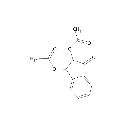 CC(=O)OC1c2ccccc2C(=O)N1OC(C)=O